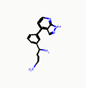 NCCC(N)c1cccc(-c2ccnc3[nH]ncc23)c1